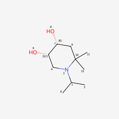 CC(C)N1C[C@H](O)[C@H](O)CC1(C)C